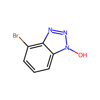 On1nnc2c(Br)cccc21